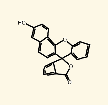 O=C1OC2(c3ccccc3Oc3c2ccc2cc(O)ccc32)c2ccccc21